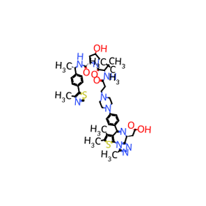 Cc1ncsc1-c1ccc([C@H](C)NC(=O)[C@@H]2C[C@@H](O)CN2C(=O)[C@@H](NC(=O)CCN2CCN(c3ccc(C4=N[C@@H](CC(=O)O)c5nnc(C)n5-c5sc(C)c(C)c54)cc3)CC2)C(C)(C)C)cc1